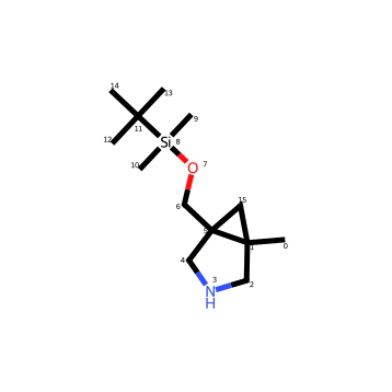 CC12CNCC1(CO[Si](C)(C)C(C)(C)C)C2